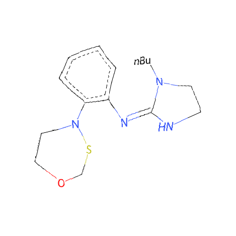 CCCCN1CCNC1=Nc1ccccc1N1CCOCS1